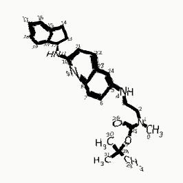 CN(CCNc1ccc2nc(N[C@@H]3CCc4ccccc43)ccc2c1)C(=O)OC(C)(C)C